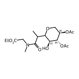 CCOC(=O)CN(C)C(=O)C(C)C1OC[C@@H](OC(C)=O)[C@H](OC(C)=O)[C@H]1O